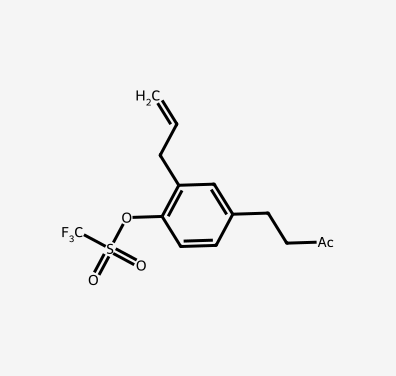 C=CCc1cc(CCC(C)=O)ccc1OS(=O)(=O)C(F)(F)F